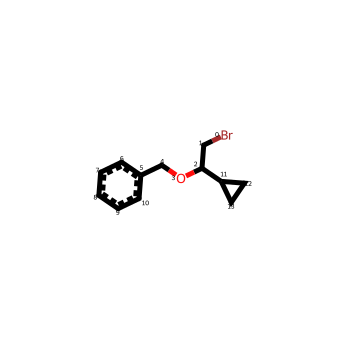 BrCC(OCc1ccccc1)C1CC1